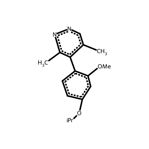 COc1cc(OC(C)C)ccc1-c1c(C)cnnc1C